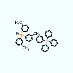 CC[PH](c1cccc(C)c1)(c1cccc(C)c1)c1cccc(C)c1.c1ccc([B-](c2ccccc2)(c2ccccc2)c2ccccc2)cc1